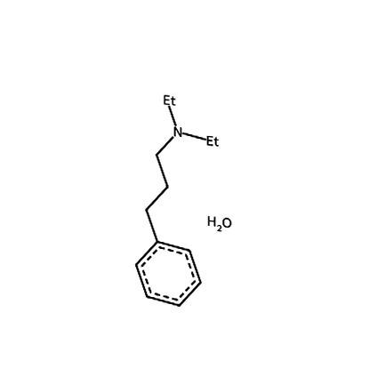 CCN(CC)CCCc1ccccc1.O